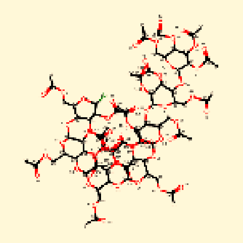 CC(=O)OCC1OC(Br)C(OC(C)=O)C(OC(C)=O)C1OC1OC(COC(C)=O)C(OC2OC(COC(C)=O)C(OC3OC(COC(C)=O)C(OC4OC(COC(C)=O)C(OC5OC(COC(C)=O)C(OC6OC(COC(C)=O)C(OC(C)=O)C(OC(C)=O)C6OC(C)=O)C(OC(C)=O)C5OC(C)=O)C(OC(C)=O)C4OC(C)=O)C(OC(C)=O)C3OC(C)=O)C(OC(C)=O)C2OC(C)=O)C(OC(C)=O)C1OC(C)=O